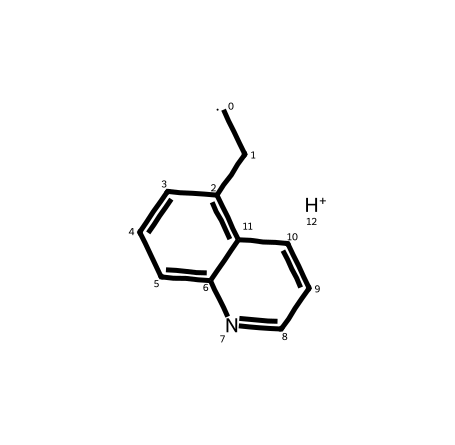 [CH2]Cc1cccc2ncccc12.[H+]